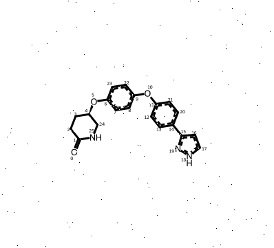 O=C1CC[C@@H](Oc2ccc(Oc3ccc(-c4cc[nH]n4)cc3)cc2)CN1